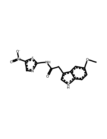 COc1ccc2[nH]cc(CC(=O)Nc3ncc([N+](=O)[O-])s3)c2c1